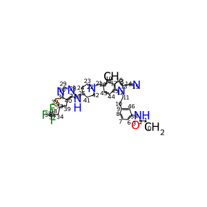 C=CC(=O)Nc1cccc(CCn2c(C#N)cc3c(C)c(CN4CCC(Nc5ncnc6sc(CC(F)(F)F)cc56)CC4)ccc32)c1